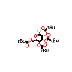 CC(C)(C)C(=O)OC[C@H]1O[C@H](Cl)[C@H](OC(=O)C(C)(C)C)[C@@H](OC(=O)C(C)(C)C)[C@@H]1OC(=O)C(C)(C)C